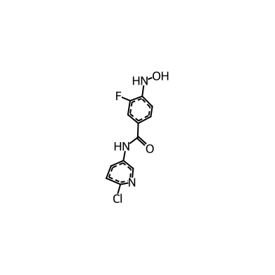 O=C(Nc1ccc(Cl)nc1)c1ccc(NO)c(F)c1